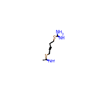 CC(=N)SCC#CCCSC(=N)N